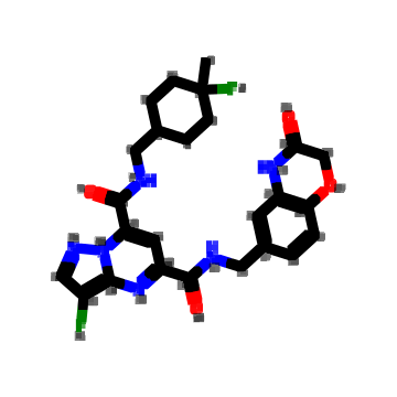 CC1(F)CCC(CNC(=O)c2cc(C(=O)NCc3ccc4c(c3)NC(=O)CO4)nc3c(F)cnn23)CC1